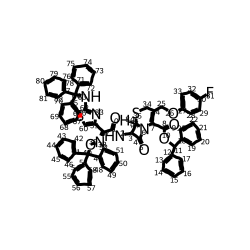 O=C(NC1C(=O)N2C(C(=O)OC(c3ccccc3)c3ccccc3)=C(COc3ccc(F)cc3)CS[C@@H]12)C(=NOC(c1ccccc1)(c1ccccc1)c1ccccc1)c1csc(NC(c2ccccc2)(c2ccccc2)c2ccccc2)n1